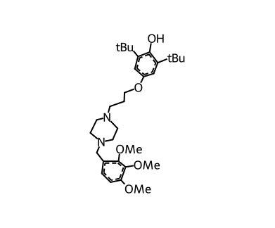 COc1ccc(CN2CCN(CCCOc3cc(C(C)(C)C)c(O)c(C(C)(C)C)c3)CC2)c(OC)c1OC